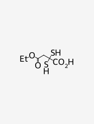 CCOC(=O)CC(S)(S)C(=O)O